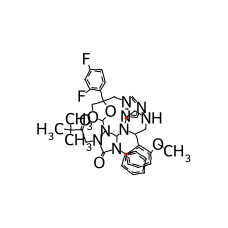 COc1ccccc1C1CNCCN1C1N(c2ccccc2)C(=O)N(CC(=O)C(C)(C)C)N1C1OCC(Cn2cncn2)(c2ccc(F)cc2F)O1